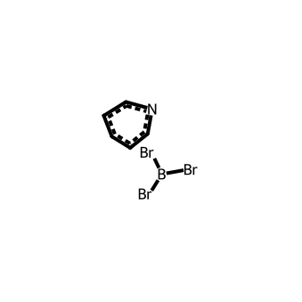 BrB(Br)Br.c1ccncc1